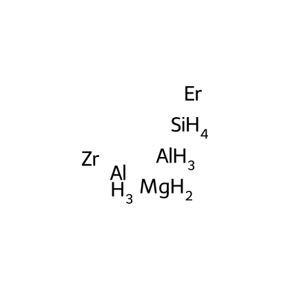 [AlH3].[AlH3].[Er].[MgH2].[SiH4].[Zr]